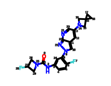 O=C(Nc1ccc(F)c(-n2cc3cc(N4CC5(CC5)C4)cnc3n2)c1)N1CC(F)C1